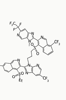 CCS(=O)(=O)c1c(-c2nc3cc(C(F)(F)F)cnc3n2CCCS(=O)(=O)c2c(-c3nc4cc(C(F)(F)C(F)(F)F)ncc4n3C)ncc3c(C(F)(F)F)cccc23)ncc2cc(Cl)ccc12